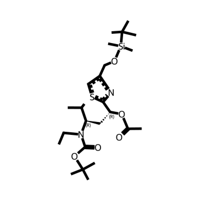 CCN(C(=O)OC(C)(C)C)[C@H](C[C@@H](OC(C)=O)c1nc(CO[Si](C)(C)C(C)(C)C)cs1)C(C)C